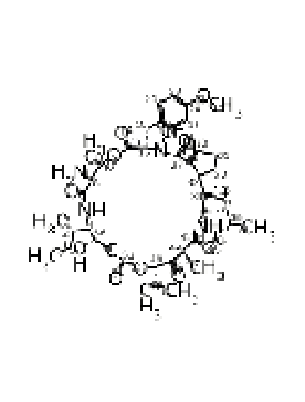 CC[C@H](C)[C@H]1NC(=O)[C@@H](N)[C@@H](C)OC(=O)[C@H](Cc2ccc(OC)cc2)N(C)C(=O)[C@@H]2CCCC2C(=O)[C@H](CC(C)C)NC(=O)[C@@H](C)C(=O)[C@H](C(C)C)OC(=O)C[C@@H]1O